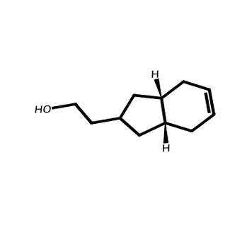 OCCC1C[C@H]2CC=CC[C@H]2C1